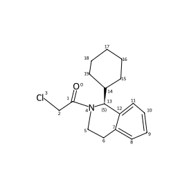 O=C(CCl)N1CCc2ccccc2[C@@H]1C1CCCCC1